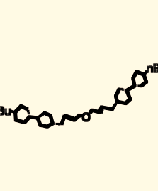 CCCC[C@H]1CC[C@H]([C@H]2CC[C@H](CC=CCOCC=CC[C@H]3CC[C@H]([C@H]4CC[C@H](CCCC)CC4)CC3)CC2)CC1